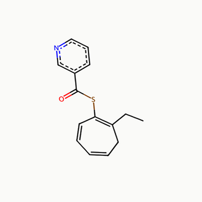 CCC1=C(SC(=O)c2cccnc2)C=CC=CC1